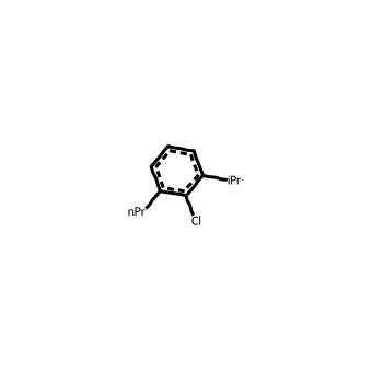 CCCc1cccc([C](C)C)c1Cl